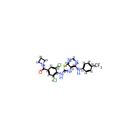 O=C(c1cc(Cl)c(Nc2nc3c(Nc4ccc(C(F)(F)F)cc4)ncnc3s2)c(Cl)c1)N1CCC1